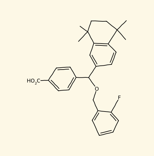 CC1(C)CCC(C)(C)c2cc(C(OCc3ccccc3F)c3ccc(C(=O)O)cc3)ccc21